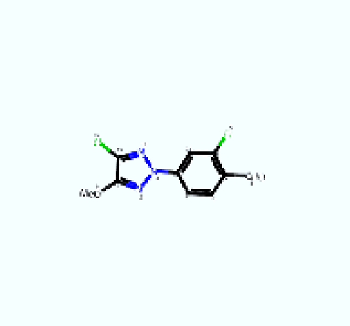 COc1nn(-c2ccc(C=O)c(Cl)c2)nc1Cl